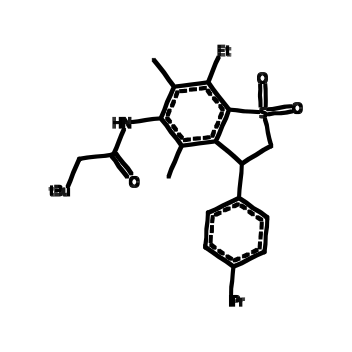 CCc1c(C)c(NC(=O)CC(C)(C)C)c(C)c2c1S(=O)(=O)CC2c1ccc(C(C)C)cc1